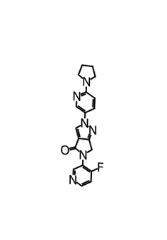 O=C1c2cn(-c3ccc(N4CCCC4)nc3)nc2CN1c1cnccc1F